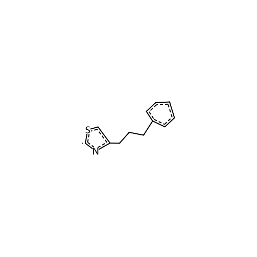 [c]1nc(CCCc2ccccc2)cs1